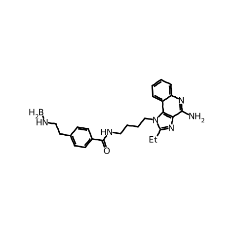 BNCCc1ccc(C(=O)NCCCCn2c(CC)nc3c(N)nc4ccccc4c32)cc1